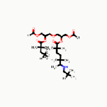 CCC(=O)OCC(COCC(COC(=O)CC)OC(=O)C(C)(C)CC(C)(C)C(C)C)OC(=O)C(C)(C)CCC(C)(C)C(C)NCC(C)(C)C(C)C